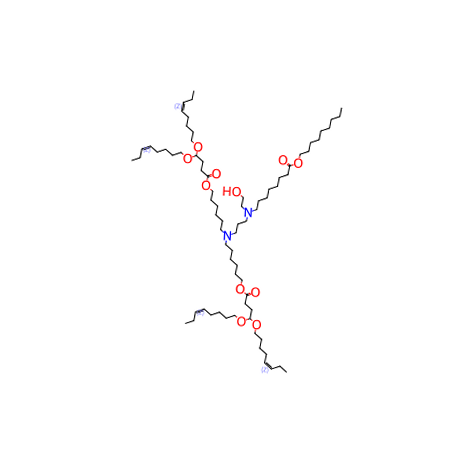 CC/C=C\CCCCOC(CCC(=O)OCCCCCCN(CCCCCCOC(=O)CCC(OCCCC/C=C\CC)OCCCC/C=C\CC)CCCN(CCO)CCCCCCCC(=O)OCCCCCCCCC)OCCCC/C=C\CC